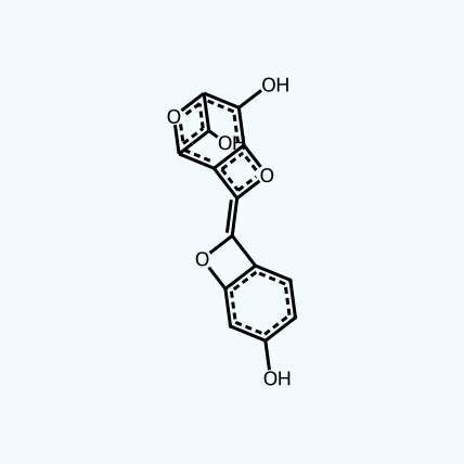 Oc1ccc2c(c1)OC2=c1oc2c(O)c3oc(c3O)c12